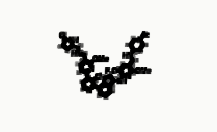 COc1nc(-c2ccnc(-c3cccc4c3CC[C@H]4Nc3nc(OC)c(CNC4CCN(C(C)=O)CC4)cc3C(F)(F)F)c2Cl)ccc1CNC[C@H]1CCC(=O)N1